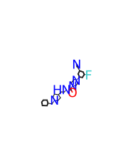 N#Cc1cc(F)cc(N2CCN(C(=O)NCCC3CCN(Cc4ccccc4)CC3)CC2)c1